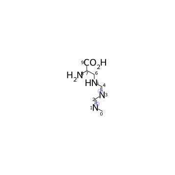 C/N=C\N=C/NCC(N)C(=O)O